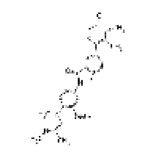 C=C/C(C)=C(\C=C/CCl)c1ccc2c(c1)C(=O)N(c1ccc(N(C)/C=C(/C)N=C)c(OC)c1)C2